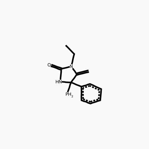 C=C1N(CC)C(=O)NC1(P)c1ccccc1